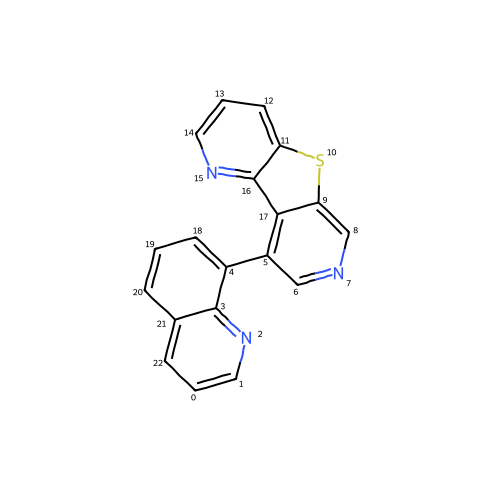 c1cnc2c(-c3cncc4sc5cccnc5c34)cccc2c1